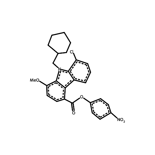 COc1ccc(C(=O)Oc2ccc([N+](=O)[O-])cc2)c2c3cccc(Cl)c3n(CC3CCCCC3)c12